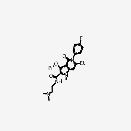 CCc1cc2c(c(OC(C)C)c(C(=O)NCCN(C)C)n2C)c(=O)n1-c1ccc(F)cc1